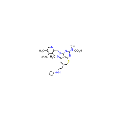 COc1c(C)cnc(Cn2nc3c4c(nc(N(C(=O)O)C(C)(C)C)nc42)SCC(CCNC2CCC2)=C3)c1C